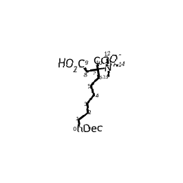 CCCCCCCCCCCCCCCCC(CC(=O)O)(C(=O)[O-])[N+](C)(C)C